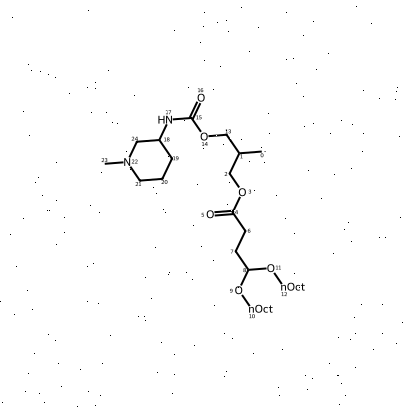 [CH2]C(COC(=O)CCC(OCCCCCCCC)OCCCCCCCC)COC(=O)NC1CCCN(C)C1